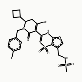 CS(=O)(=O)NCc1csc2c1S(=O)(=O)N=C(C1=C(O)CC(C3CCC3)N(Cc3ccc(F)cc3)C1=O)N2